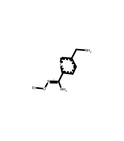 CCO/N=C(\N)c1ccc(CN)cc1